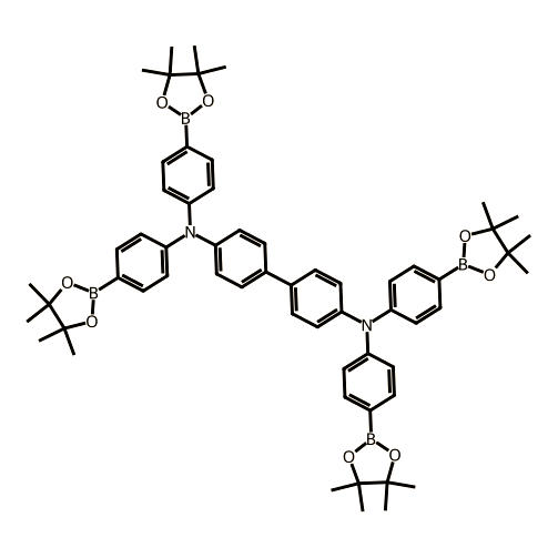 CC1(C)OB(c2ccc(N(c3ccc(B4OC(C)(C)C(C)(C)O4)cc3)c3ccc(-c4ccc(N(c5ccc(B6OC(C)(C)C(C)(C)O6)cc5)c5ccc(B6OC(C)(C)C(C)(C)O6)cc5)cc4)cc3)cc2)OC1(C)C